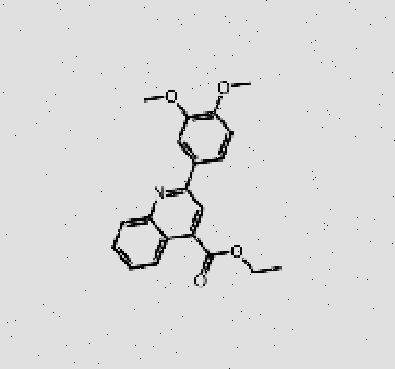 CCOC(=O)c1cc(-c2ccc(OC)c(OC)c2)nc2ccccc12